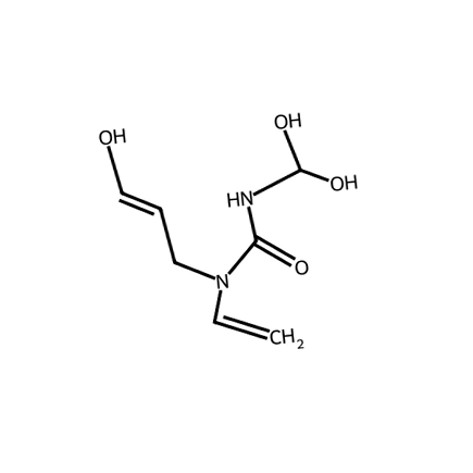 C=CN(CC=CO)C(=O)NC(O)O